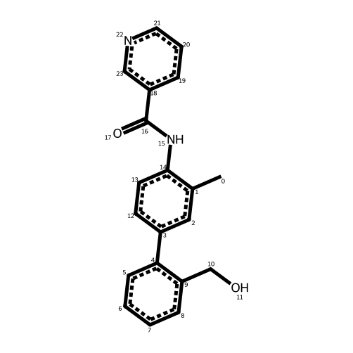 Cc1cc(-c2ccccc2CO)ccc1NC(=O)c1cccnc1